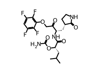 CC(C)C[C@H](OC(N)=O)C(=O)N[C@@H](C[C@@H]1CCNC1=O)C(=O)COc1c(F)c(F)cc(F)c1F